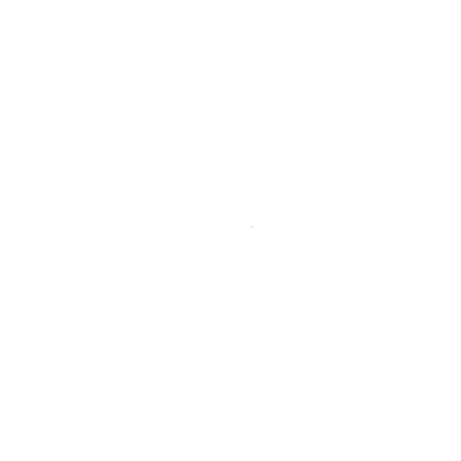 COC(=O)c1ccc(C(F)(F)F)cc1Cc1ccc(F)cc1C